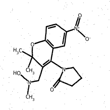 CN(O)CC1=C(N2CCCC2=O)c2cc([N+](=O)[O-])ccc2OC1(C)C